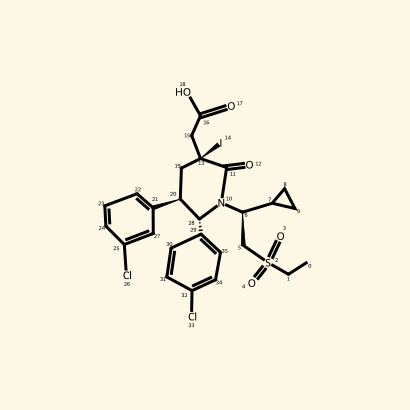 CCS(=O)(=O)C[C@H](C1CC1)N1C(=O)[C@@](I)(CC(=O)O)C[C@H](c2cccc(Cl)c2)[C@H]1c1ccc(Cl)cc1